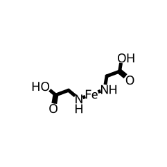 O=C(O)C[NH][Fe][NH]CC(=O)O